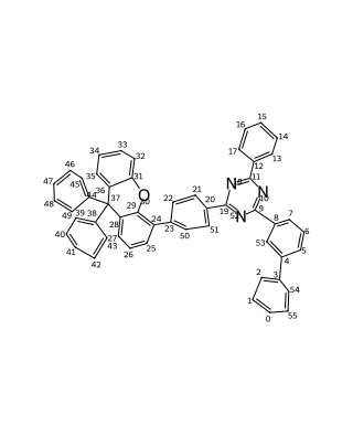 c1ccc(-c2cccc(-c3nc(-c4ccccc4)nc(-c4ccc(-c5cccc6c5Oc5ccccc5C6(c5ccccc5)c5ccccc5)cc4)n3)c2)cc1